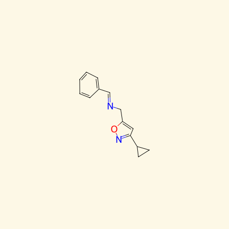 C(=NCc1cc(C2CC2)no1)c1ccccc1